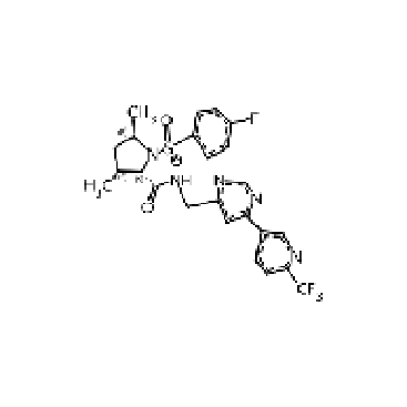 C[C@@H]1C[C@H](C)[C@@H](C(=O)NCc2cc(-c3ccc(C(F)(F)F)nc3)ncn2)N1S(=O)(=O)c1ccc(F)cc1